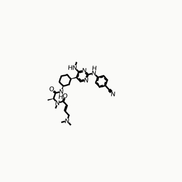 CNc1nc(Nc2ccc(C#N)cc2)ncc1[C@@H]1CCC[C@H](NC(=O)[C@H](C)N(C)C(=O)/C=C/CN(C)C)C1